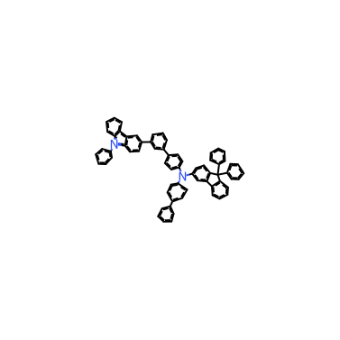 c1ccc(-c2ccc(N(c3ccc(-c4cccc(-c5ccc6c(c5)c5ccccc5n6-c5ccccc5)c4)cc3)c3ccc4c(c3)-c3ccccc3C4(c3ccccc3)c3ccccc3)cc2)cc1